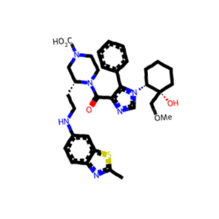 COC[C@]1(O)CCCC[C@H]1n1cnc(C(=O)N2CCN(C(=O)O)C[C@H]2CCNc2ccc3nc(C)sc3c2)c1-c1ccccc1